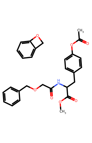 COC(=O)C(Cc1ccc(OC(C)=O)cc1)NC(=O)COCc1ccccc1.c1ccc2c(c1)CO2